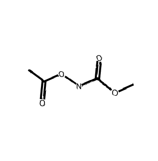 COC(=O)[N]OC(C)=O